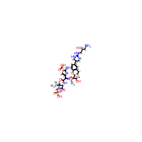 CC1(C)[C@H](NC(=O)/C(=N/O[C@](C)(C(=O)O)[C@H]2CCc3cc(C4CN=C(NC[C@H](O)CN)NC4)ccc3O2)c2csc(N)n2)C(=O)N1OS(=O)(=O)O.O=CO